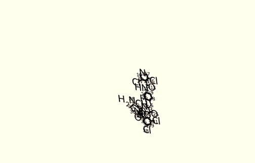 CC1(C(=O)N[C@@H](Cc2ccc(NC(=O)c3c(Cl)cncc3Cl)cc2)C(=O)O)[C@H](N)CCN1S(=O)(=O)c1cc(Cl)cc(Cl)c1